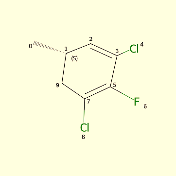 C[C@@H]1C=C(Cl)C(F)=C(Cl)C1